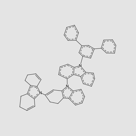 C1=Cc2c(c3c(n2C2=Cc4c(c5ccccc5n4-c4cccc5c4c4ccccc4n5-c4cc(-c5ccccc5)cc(-c5ccccc5)c4)CC2)C=CCC3)CC1